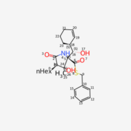 CCCCCC[C@H]1C(=O)N[C@](C(=O)SCc2ccccc2)([C@@H](O)[C@@H]2C=CCCC2)[C@@]1(C)O